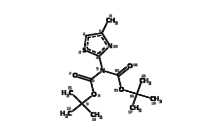 Cc1csc(N(C(=O)OC(C)(C)C)C(=O)OC(C)(C)C)n1